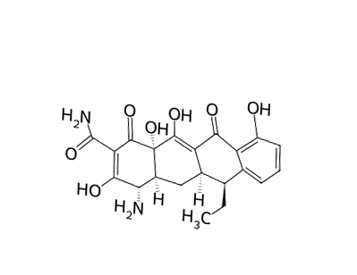 CC[C@@H]1c2cccc(O)c2C(=O)C2=C(O)[C@]3(O)C(=O)C(C(N)=O)=C(O)[C@@H](N)[C@@H]3C[C@@H]21